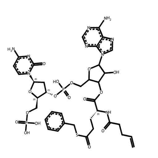 C=CCCC(=O)N[C@H](CCC(=O)SCc1ccccc1)C(=O)OC1C(COP(=O)(O)O[C@H]2C[C@H](n3ccc(N)nc3=O)O[C@@H]2COP(=O)(O)O)OC(n2cnc3c(N)ncnc32)C1O